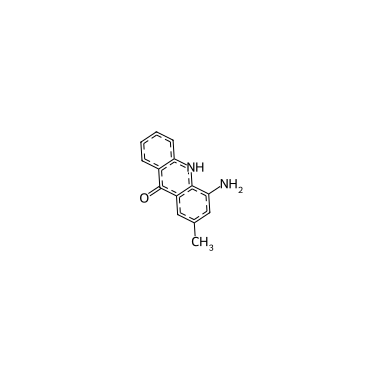 Cc1cc(N)c2[nH]c3ccccc3c(=O)c2c1